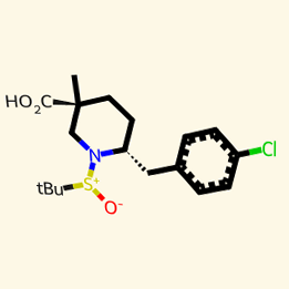 CC(C)(C)[S+]([O-])N1C[C@@](C)(C(=O)O)CC[C@@H]1Cc1ccc(Cl)cc1